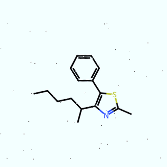 [CH2]CCCC(C)c1nc(C)sc1-c1ccccc1